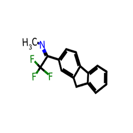 C/N=C(/c1ccc2c(c1)Cc1ccccc1-2)C(F)(F)F